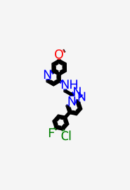 COc1ccc2c(NCc3nnc4ccc(-c5ccc(F)c(Cl)c5)cn34)ccnc2c1